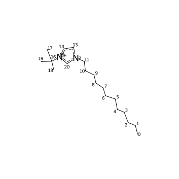 CCCCCCCCCCCCn1cc[n+](C(C)(C)C)c1